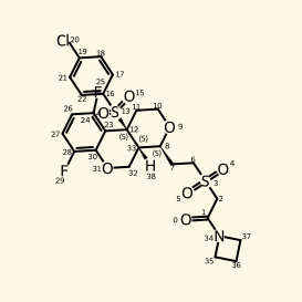 O=C(CS(=O)(=O)CC[C@@H]1OCC[C@@]2(S(=O)(=O)c3ccc(Cl)cc3)c3c(F)ccc(F)c3OC[C@@H]12)N1CCC1